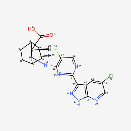 O=C(O)[C@H]1C2CCC(CC2)[C@@H]1Nc1nc(-c2n[nH]c3ncc(Cl)cc23)ncc1F